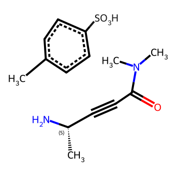 C[C@H](N)C#CC(=O)N(C)C.Cc1ccc(S(=O)(=O)O)cc1